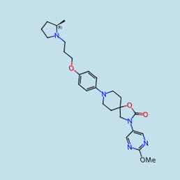 COc1ncc(N2CC3(CCN(c4ccc(OCCCN5CCC[C@H]5C)cc4)CC3)OC2=O)cn1